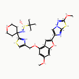 COc1cc(OCc2csc(C3(N[S@+]([O-])C(C)(C)C)CCOCC3)n2)c2cc(-c3cn4nc(OC)sc4n3)oc2c1